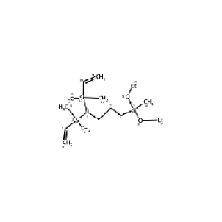 C=C[Si](C)(C)N(CCC[Si](C)(OCC)OCC)[Si](C)(C)C=C